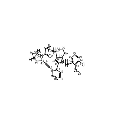 C=CC(=O)N1[C@@H](C#Cc2cnccc2-c2cc3c(n2Nc2cccc(Cl)c2OC)CCNC3=O)C[C@@H]2C[C@@H]21